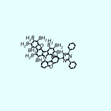 Bc1c(B)c(B)c2c(oc3c2c(B)c(B)c2c3c3c(B)c(B)c(B)c(B)c3n2-c2cccc3oc4cc(-c5nc(-c6ccccc6)nc(-c6ccccc6)n5)ccc4c23)c1B